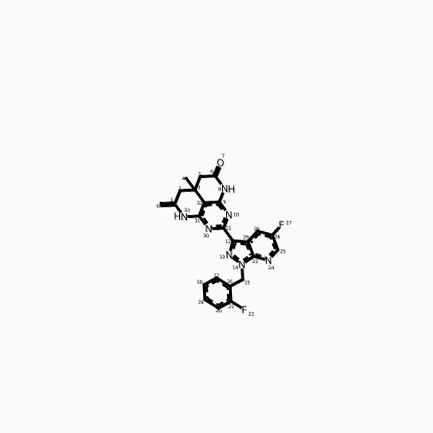 C=C1CC2(C)CC(=O)Nc3nc(-c4nn(Cc5ccccc5F)c5ncc(F)cc45)nc(c32)N1